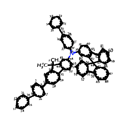 CC1(C)c2cc(-c3ccc(-c4ccccc4)cc3)ccc2-c2ccc(N(c3ccc(-c4ccccc4)cc3)c3ccc4c(c3)C3(c5ccccc5-c5ccccc53)c3ccccc3-4)cc21